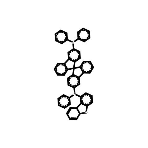 C1=CC2Oc3cccc(N(c4ccccc4)c4ccc5c(c4)-c4ccccc4C54c5ccccc5-c5cc(N(c6ccccc6)c6ccccc6)ccc54)c3C2C=C1